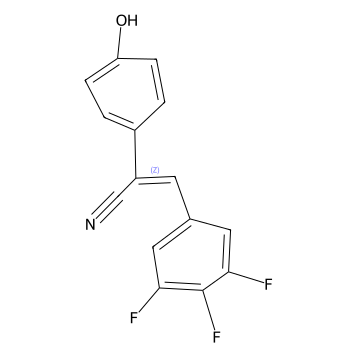 N#C/C(=C\c1cc(F)c(F)c(F)c1)c1ccc(O)cc1